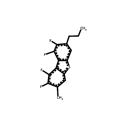 CCCc1cc2sc3cc(C)c(F)c(F)c3c2c(F)c1F